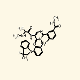 CNC(=O)c1ccc(C)c(-c2ncc(NC(=O)C(C)NC)c(=O)n2Cc2cccc(N3CC(C)(F)c4ccccc43)c2)c1